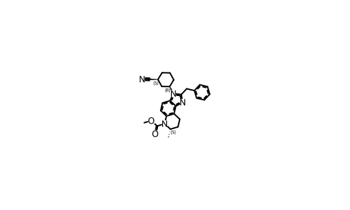 COC(=O)N1c2ccc3c(nc(Cc4ccccc4)n3[C@@H]3CCC[C@H](C#N)C3)c2CC[C@@H]1C